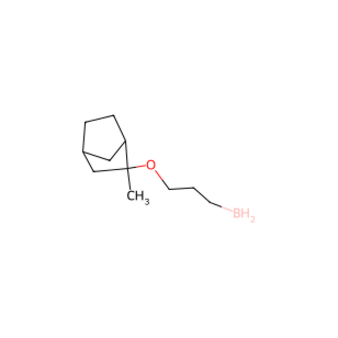 BCCCOC1(C)CC2CCC1C2